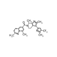 Cc1ccc2cc(C(=O)N3CCc4c(nn(C)c4-c4cc(C(F)(F)F)n(C)n4)C3C)cc(C)c2n1